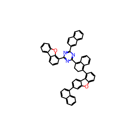 c1ccc2c(c1)=C(c1nc(-c3ccc4ccccc4c3)nc(-c3cccc4c3oc3ccccc34)n1)CCC=2c1cccc2oc3cc(-c4cccc5ccccc45)ccc3c12